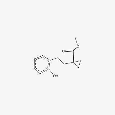 COC(=O)C1(CCc2ccccc2O)CC1